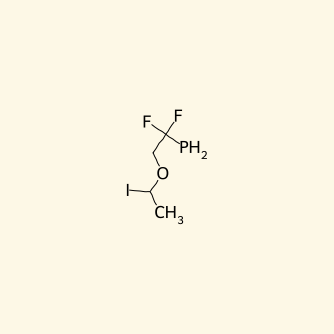 CC(I)OCC(F)(F)P